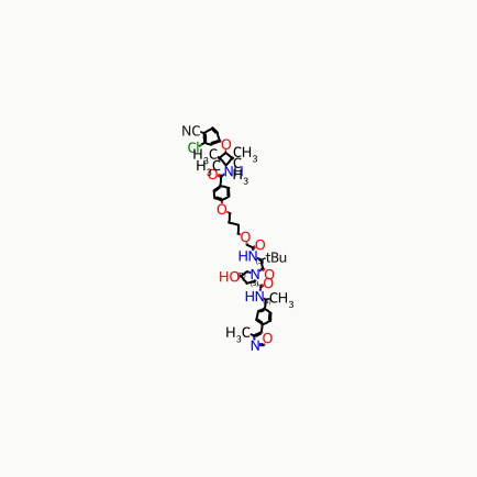 Cc1ncoc1-c1ccc([C@H](C)NC(=O)[C@@H]2C[C@@H](O)CN2C(=O)[C@@H](NC(=O)COCCCCOc2ccc(C(=O)N[C@H]3C(C)(C)[C@H](Oc4ccc(C#N)c(Cl)c4)C3(C)C)cc2)C(C)(C)C)cc1